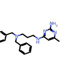 Cc1cc(NCCCN(Cc2ccccc2)Cc2ccccc2)nc(N)n1